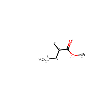 CC(C)OC(=O)C(C)CC(=O)O